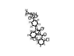 O=C(c1c(Cl)cccc1Cl)n1c(=O)n(-c2ccc(S(=O)(=O)NC3CC3)cc2)c2ccccc21